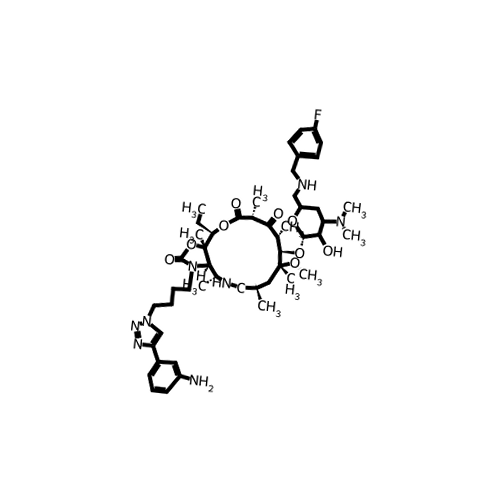 CC[C@H]1OC(=O)[C@H](C)C(=O)[C@H](C)[C@@H](O[C@@H]2OC(CNCc3ccc(F)cc3)CC(N(C)C)C2O)[C@](C)(OC)C[C@@H](C)CN[C@H](C)[C@H]2N(CCCCn3cc(-c4cccc(N)c4)nn3)C(=O)O[C@]12C